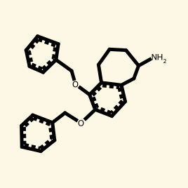 NC1CCCc2c(ccc(OCc3ccccc3)c2OCc2ccccc2)C1